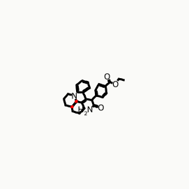 CCOC(=O)c1ccc(C(C(N)=O)C(=C2CCCCC2)c2ccccc2N2CCCCC2)cc1